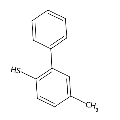 Cc1ccc(S)c(-c2ccccc2)c1